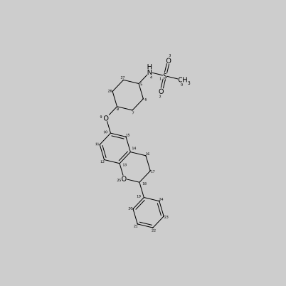 CS(=O)(=O)NC1CCC(Oc2ccc3c(c2)CCC(c2ccccc2)O3)CC1